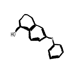 OC1CCCc2cc(Sc3ccccc3)ccc21